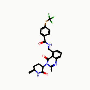 C=C1CCC(n2c(C)nc3cccc(CNC(=O)c4ccc(SC(F)(F)F)cc4)c3c2=O)C(=O)N1